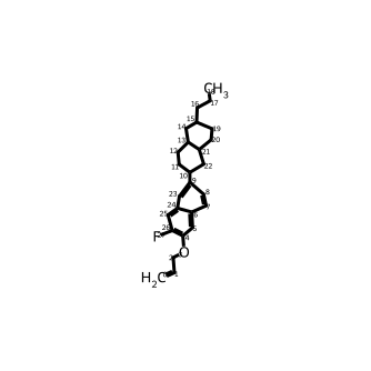 C=CCOc1cc2ccc(C3CCC4CC(CCC)CCC4C3)cc2cc1F